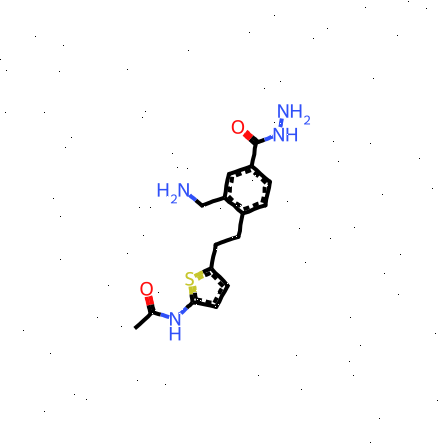 CC(=O)Nc1ccc(CCc2ccc(C(=O)NN)cc2CN)s1